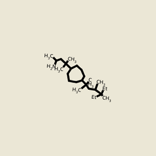 CCC(C)(CC)C(C)CC(C)(C)C1CCCC(C(C)(C)CC(C)N)CCC1